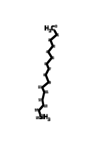 CCCCCCCCCCCCCCC[SiH3]